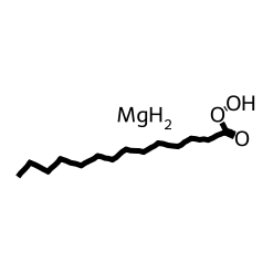 CCCCCCCCCCCCCC(=O)OO.[MgH2]